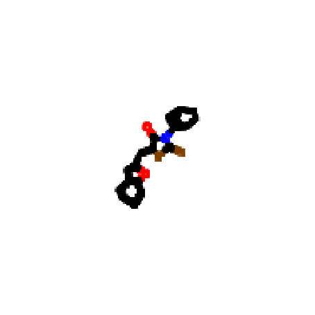 O=C1C(=Cc2cc3ccccc3o2)SC(=S)N1C1CC2CCC1C2